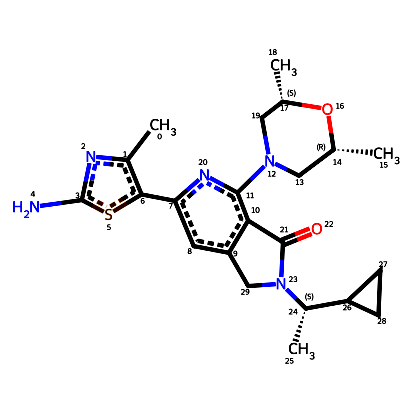 Cc1nc(N)sc1-c1cc2c(c(N3C[C@@H](C)O[C@@H](C)C3)n1)C(=O)N([C@@H](C)C1CC1)C2